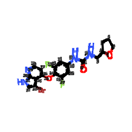 O=C(NCC1CCCO1)Nc1cc(F)c(Oc2ccnc3[nH]cc(Br)c23)c(F)c1